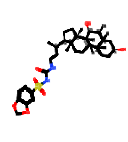 CC[C@H]1[C@@H](O)[C@@H]2[C@H](CC[C@]3(C)[C@@H]([C@H](C)CCNC(=O)NS(=O)(=O)c4ccc5c(c4)OCO5)CC[C@@H]23)[C@@]2(C)CC[C@@H](O)C[C@@H]12